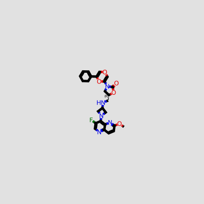 COc1ccc2ncc(F)c(N3CC(NC[C@@H]4CN(C5=COC=C(C6=CC=CCC6)O5)C(=O)O4)C3)c2n1